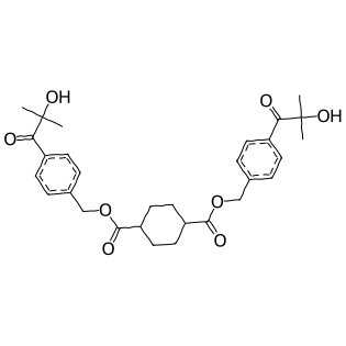 CC(C)(O)C(=O)c1ccc(COC(=O)C2CCC(C(=O)OCc3ccc(C(=O)C(C)(C)O)cc3)CC2)cc1